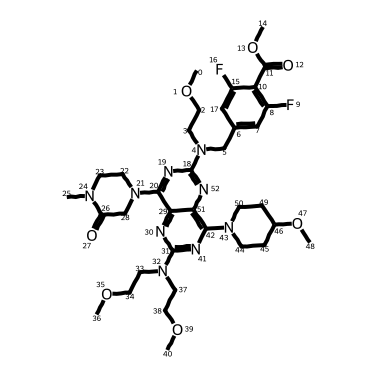 COCCN(Cc1cc(F)c(C(=O)OC)c(F)c1)c1nc(N2CCN(C)C(=O)C2)c2nc(N(CCOC)CCOC)nc(N3CCC(OC)CC3)c2n1